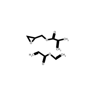 C=C(C)C(=O)OCC1CO1.C=COC(=O)C=C